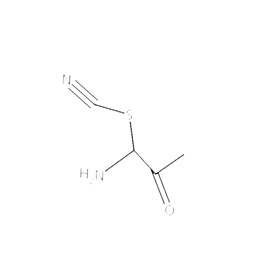 CC(=O)C(N)SC#N